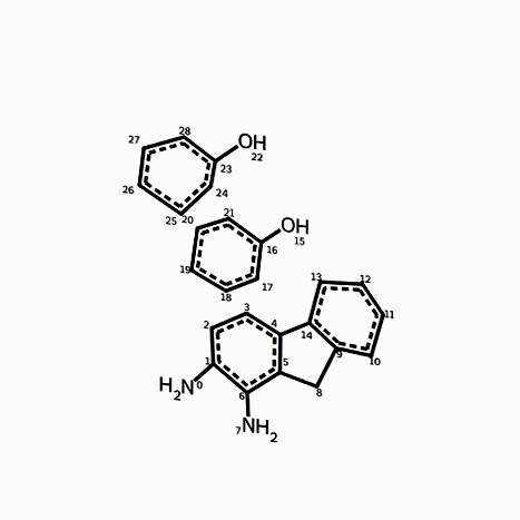 Nc1ccc2c(c1N)Cc1ccccc1-2.Oc1ccccc1.Oc1ccccc1